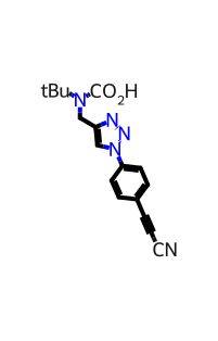 CC(C)(C)N(Cc1cn(-c2ccc(C#CC#N)cc2)nn1)C(=O)O